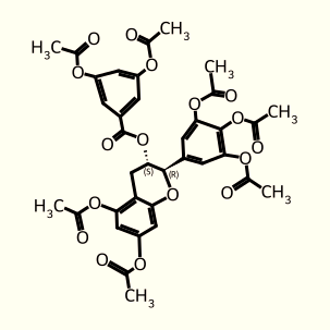 CC(=O)Oc1cc(OC(C)=O)cc(C(=O)O[C@H]2Cc3c(OC(C)=O)cc(OC(C)=O)cc3O[C@@H]2c2cc(OC(C)=O)c(OC(C)=O)c(OC(C)=O)c2)c1